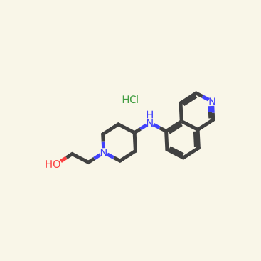 Cl.OCCN1CCC(Nc2cccc3cnccc23)CC1